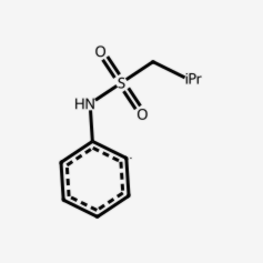 CC(C)CS(=O)(=O)Nc1[c]cccc1